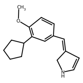 COc1ccc(C=C2C=CNC2)cc1C1CCCC1